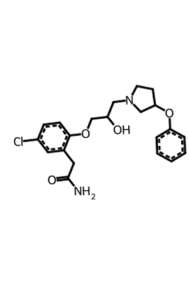 NC(=O)Cc1cc(Cl)ccc1OCC(O)CN1CCC(Oc2ccccc2)C1